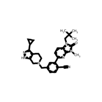 Cn1c(=O)n(CC(C)(C)C)c2ccc(-c3cc(CN4CCc5c(C6CC6)n[nH]c5C4)ccc3C#N)nc21